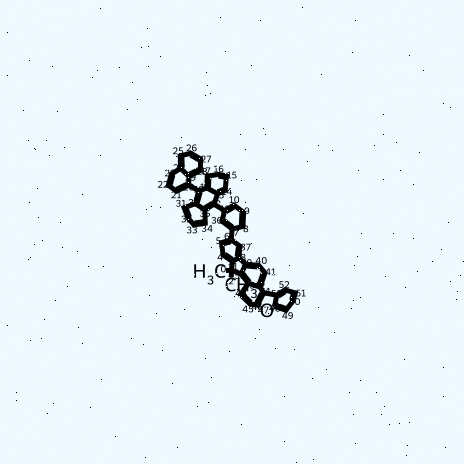 CC1(C)c2ccc(-c3cccc(-c4c5ccccc5c(-c5cccc6ccccc56)c5ccccc45)c3)cc2-c2ccc3c(ccc4oc5ccccc5c43)c21